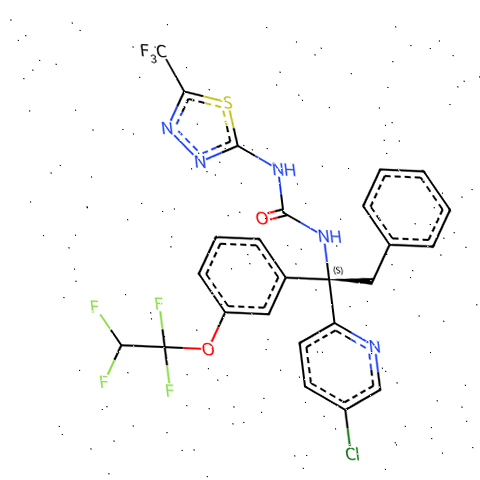 O=C(Nc1nnc(C(F)(F)F)s1)N[C@@](Cc1ccccc1)(c1cccc(OC(F)(F)C(F)F)c1)c1ccc(Cl)cn1